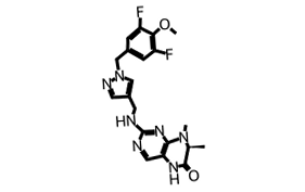 COc1c(F)cc(Cn2cc(CNc3ncc4c(n3)N(C)[C@@H](C)C(=O)N4)cn2)cc1F